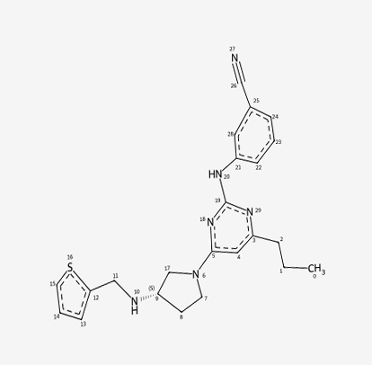 CCCc1cc(N2CC[C@H](NCc3cccs3)C2)nc(Nc2cccc(C#N)c2)n1